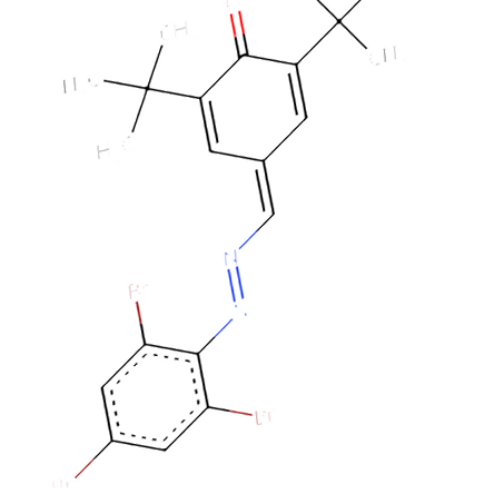 CC(C)(C)C1=CC(=CN=Nc2c(Br)cc(Br)cc2Br)C=C(C(C)(C)C)C1=O